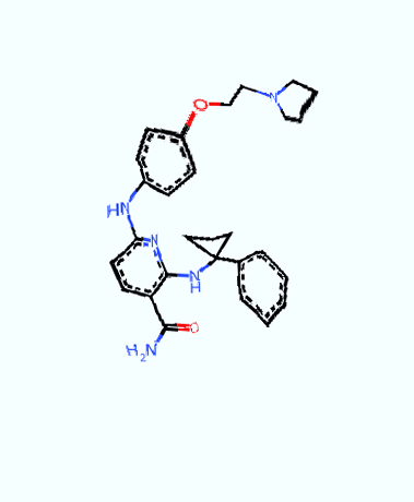 NC(=O)c1ccc(Nc2ccc(OCCN3CCCC3)cc2)nc1NC1(c2ccccc2)CC1